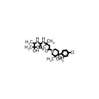 CC(NC(=O)NC(C)(C)CC(=O)N1CCC(O)(c2ccc(Cl)cc2)C(C)(C)C1)C(C)(C)O